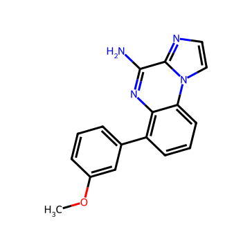 COc1cccc(-c2cccc3c2nc(N)c2nccn23)c1